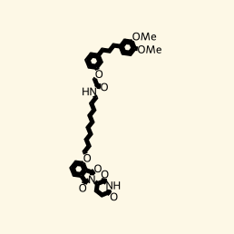 COc1ccc(CCCc2cccc(OCC(=O)NCCCCCCCCCCOc3cccc4c3C(=O)N(C3CCC(=O)NC3=O)C4=O)c2)cc1OC